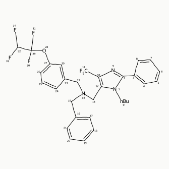 CCCCn1c(-c2ccccc2)nc(C(F)(F)F)c1CN(Cc1ccccc1)Cc1cccc(OC(F)(F)C(F)F)c1